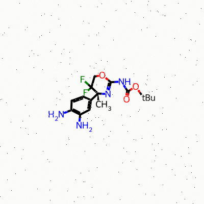 CC(C)(C)OC(=O)NC1=N[C@](C)(c2ccc(N)c(N)c2)C(F)(F)CO1